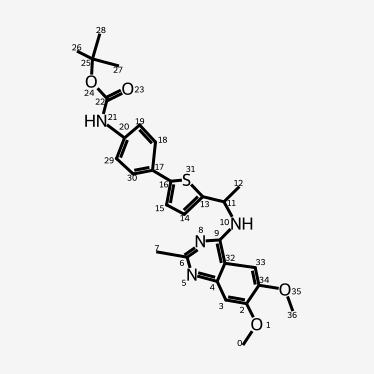 COc1cc2nc(C)nc(NC(C)c3ccc(-c4ccc(NC(=O)OC(C)(C)C)cc4)s3)c2cc1OC